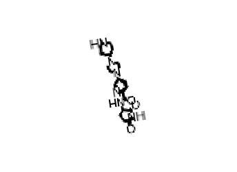 O=C1CCC(NC(=O)c2ccc(N3CCN(C4CCNCC4)CC3)cn2)C(=O)N1